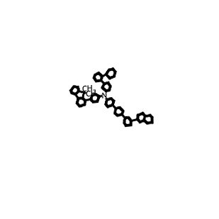 CC1(C)c2ccccc2-c2cccc(-c3ccc(N(c4ccc(-c5ccc(-c6cccc(-c7ccc8ccccc8c7)c6)cc5)cc4)c4cccc(-c5ccccc5-c5ccccc5)c4)cc3)c21